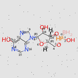 B[PH]1(O)OC[C@H]2O[C@@H](n3cnc4c(O)ncnc43)C(O)[C@@H]2O1